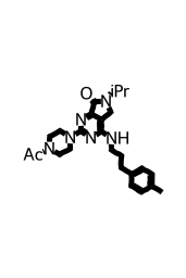 CC(=O)N1CCN(c2nc(NCCCc3ccc(C)cc3)c3c(n2)C(=O)N(C(C)C)C3)CC1